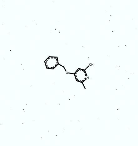 Cc1cc(OCc2ccccc2)cc(O)n1